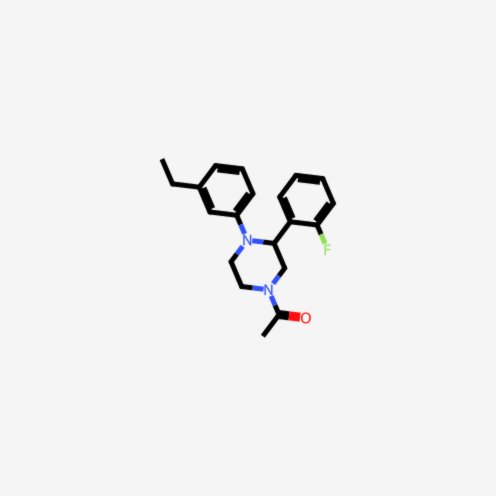 CCc1cccc(N2CCN(C(C)=O)CC2c2ccccc2F)c1